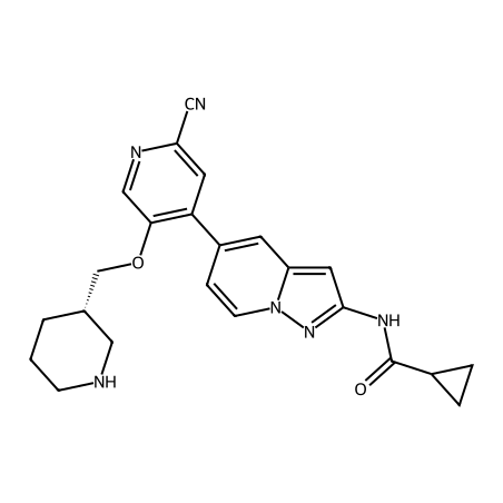 N#Cc1cc(-c2ccn3nc(NC(=O)C4CC4)cc3c2)c(OC[C@H]2CCCNC2)cn1